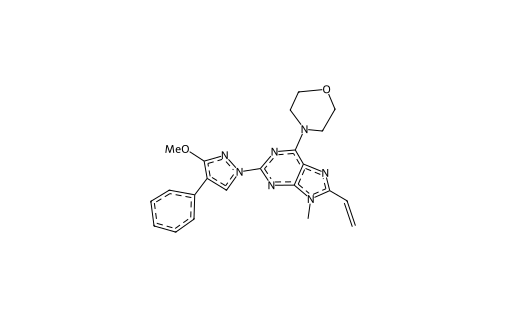 C=Cc1nc2c(N3CCOCC3)nc(-n3cc(-c4ccccc4)c(OC)n3)nc2n1C